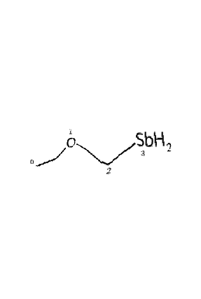 CO[CH2][SbH2]